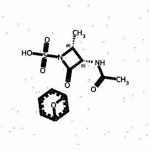 CC(=O)N[C@@H]1C(=O)N(S(=O)(=O)O)[C@@H]1C.c1cc2cc(c1)O2